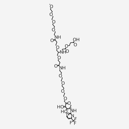 COCCOCCOCCOCCNC(=O)CCOCC(COCCC(=O)NCCOCCOCCOCCOC[C@H]1OC[C@H](Nc2nccc(C(F)(F)F)n2)[C@@H](O)[C@H]1O)NCC(=O)OCCC(=O)O